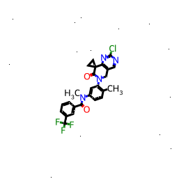 Cc1ccc(N(C)C(=O)c2cccc(C(F)(F)F)c2)cc1N1Cc2cnc(Cl)nc2C2(CC2)C1=O